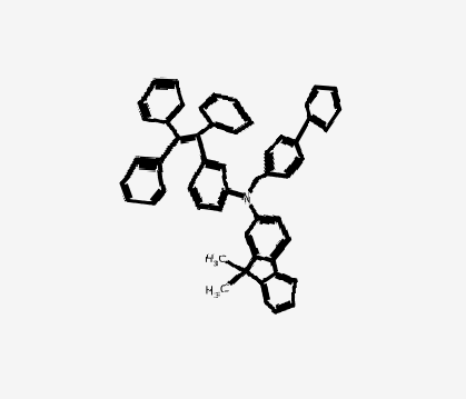 CC1(C)c2ccccc2-c2ccc(N(c3ccc(-c4ccccc4)cc3)c3cccc(C(=C(c4ccccc4)c4ccccc4)c4ccccc4)c3)cc21